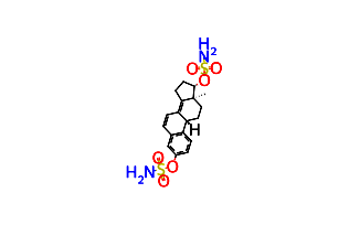 C[C@]12CC[C@H]3C(=C1CC[C@@H]2OS(N)(=O)=O)C=Cc1cc(OS(N)(=O)=O)ccc13